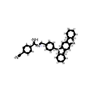 N#Cc1ccc(C(=N)/N=C/c2ccc(-n3c4ccccc4c4cc5sc6ccccc6c5cc43)cc2)cc1